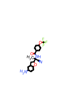 CC(C#N)(NC(=O)c1ccc(OC(F)(F)F)cc1)C1Cc2cc(N)ccc2O1